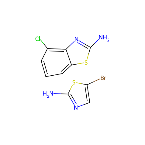 Nc1nc2c(Cl)cccc2s1.Nc1ncc(Br)s1